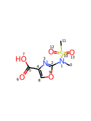 CN(c1nc(C(=O)O)co1)S(C)(=O)=O